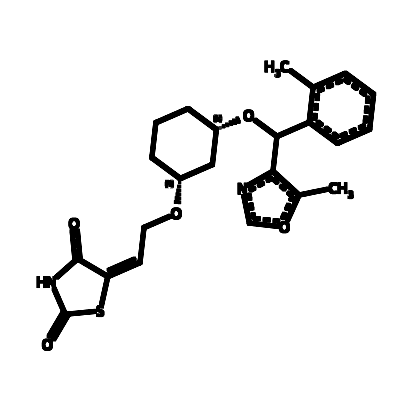 Cc1ccccc1C(O[C@H]1CCC[C@@H](OCC=C2SC(=O)NC2=O)C1)c1ncoc1C